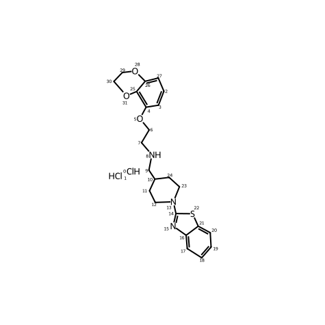 Cl.Cl.c1cc(OCCNCC2CCN(c3nc4ccccc4s3)CC2)c2c(c1)OCCO2